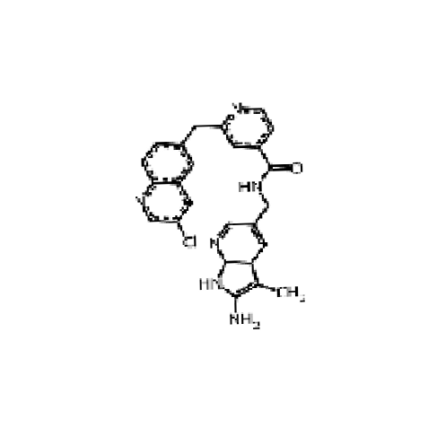 CC1=C(N)NC2N=CC(CNC(=O)c3ccnc(Cc4ccc5ncc(Cl)cc5c4)c3)=CC12